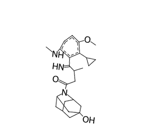 CNc1ccc(OC)c(C2CC2)c1C(=N)C(C)CC(=O)N1C2CC3CC1CC(O)(C3)C2